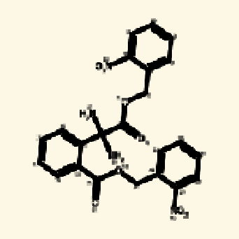 NC(N)(C(=O)OCc1ccccc1[N+](=O)[O-])c1ccccc1C(=O)OCc1ccccc1[N+](=O)[O-]